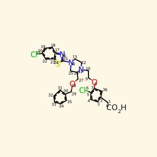 O=C(O)Cc1ccc(Cl)c(OCCN2CCN(c3nc4ccc(Cl)cc4s3)CC2COCc2ccccc2)c1